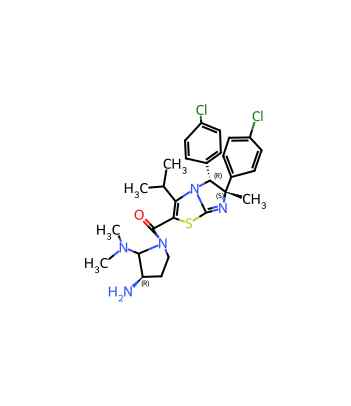 CC(C)C1=C(C(=O)N2CC[C@@H](N)C2N(C)C)SC2=N[C@@](C)(c3ccc(Cl)cc3)[C@@H](c3ccc(Cl)cc3)N21